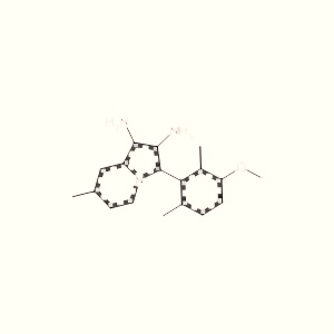 COc1ccc(C)c(-c2c(N)c(N)c3cc(C)ccn23)c1C